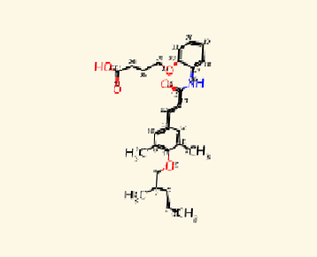 CCCC(C)COc1c(C)cc(C=CC(=O)Nc2ccccc2OCCCC(=O)O)cc1C